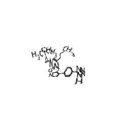 CCCCc1cn(C2CC2C(C)(C)C)c(=O)n1Cc1cnccc1-c1ccc(-c2nnn[nH]2)cc1